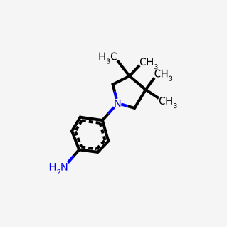 CC1(C)CN(c2ccc(N)cc2)CC1(C)C